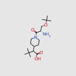 CC(C)(C)OC[C@H](N)C(=O)N1CCC(C(C(=O)O)C(C)(C)C)CC1